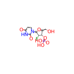 O=c1ccn([C@H]2O[C@@H](CO)C(OP(=O)(O)O)C2F)c(=O)[nH]1